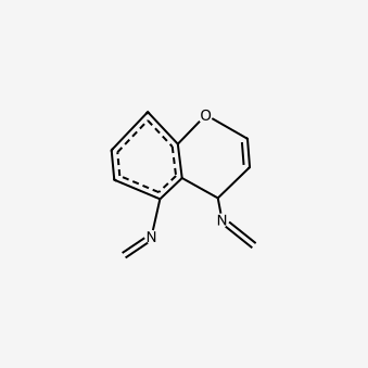 C=Nc1cccc2c1C(N=C)C=CO2